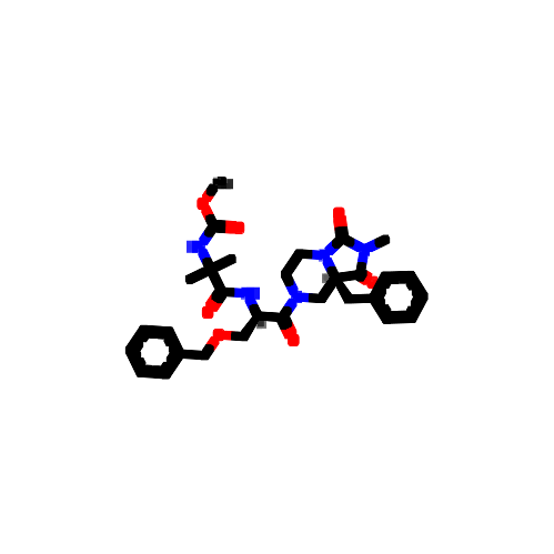 CN1C(=O)N2CCN(C(=O)[C@@H](COCc3ccccc3)NC(=O)C(C)(C)NC(=O)OC(C)(C)C)C[C@@]2(Cc2ccccc2)C1=O